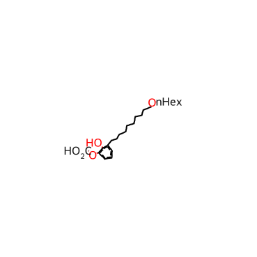 CCCCCCOCCCCCCCCCCc1cccc(OC(=O)O)c1O